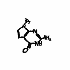 CC(C)n1ccc2c(=O)[nH]c(N)nc21